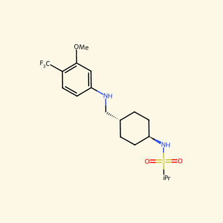 COc1cc(NC[C@H]2CC[C@H](NS(=O)(=O)C(C)C)CC2)ccc1C(F)(F)F